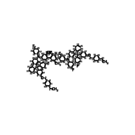 C=Cc1ccc(COc2ccc(C3(c4ccc(F)cc4)c4ccccc4-c4ccc(N(c5ccc(F)cc5)c5ccc(-c6cc(C)c(-c7ccc(N(c8ccc(F)cc8)c8ccc9c(c8)C(c8ccc(F)cc8)(c8ccc(OCc%10ccc(C=C)cc%10)cc8)c8ccccc8-9)cc7C)cc6C)c(C)c5)cc43)cc2)cc1